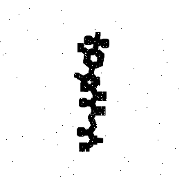 Cc1nc(NC(=O)NCCC(=O)N(C)C(C)C)sc1-c1ccc(S(C)(=O)=O)c(F)c1